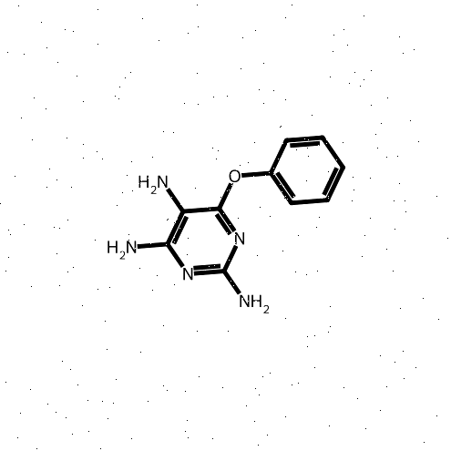 Nc1nc(N)c(N)c(Oc2ccccc2)n1